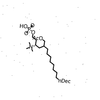 CCCCCCCCCCCCCCCCCCC(COC(C)=O)CC(CCOP(=O)([O-])O)[N+](C)(C)C